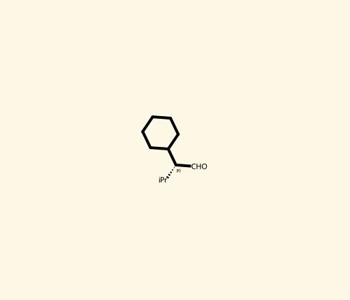 CC(C)[C@@H](C=O)C1CCCCC1